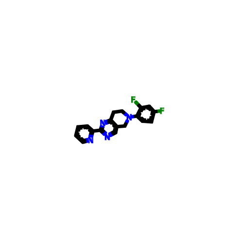 Fc1ccc(N2CCc3nc(-c4ccccn4)ncc3C2)c(F)c1